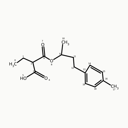 CCC(C(=O)O)C(=O)OC(C)CCc1ccc(C)cc1